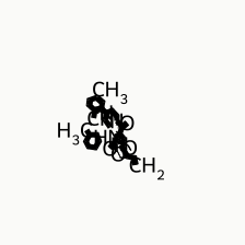 C=CCS(=O)(=O)N1CC(C(=O)N2CCN(c3cc(C)ccc3C)CC2)NC1=O.CC1CCCCC1